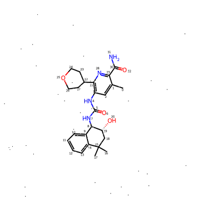 Cc1cc(NC(=O)NC2c3ccccc3C(C)(C)C[C@H]2O)c(C2CCOCC2)nc1C(N)=O